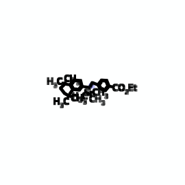 CCOC(=O)c1ccc(/C=C(/c2ccc3c(c2)C(C)(C)CCC3(C)C)[Si](C)(C)C)cc1